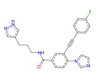 O=C(NCCCc1cn[nH]c1)c1ccc(-n2ccnc2)c(C#Cc2ccc(F)cc2)c1